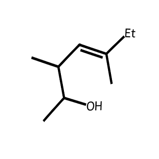 CC/C(C)=C/C(C)C(C)O